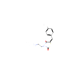 CCc1ccc(C=C2SC(=O)N(CCNC(=O)O)C2=O)cc1